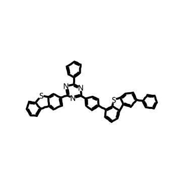 c1ccc(-c2ccc3sc4c(-c5ccc(-c6nc(-c7ccccc7)nc(-c7ccc8c(c7)sc7ccccc78)n6)cc5)cccc4c3c2)cc1